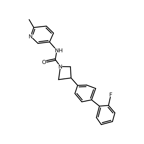 Cc1ccc(NC(=O)N2CC(c3ccc(-c4ccccc4F)cc3)C2)cn1